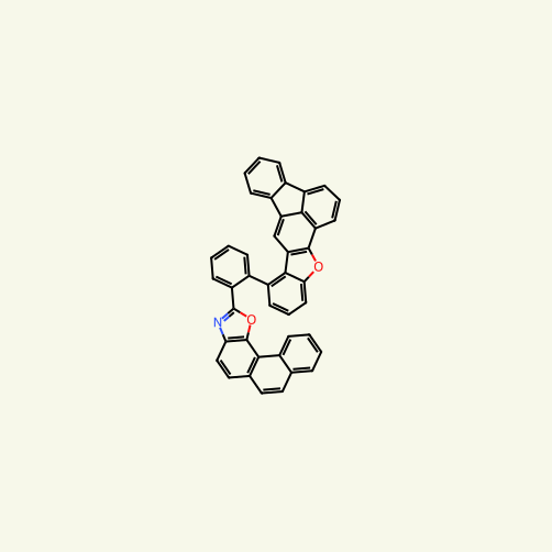 c1ccc(-c2cccc3oc4c5cccc6c5c(cc4c23)-c2ccccc2-6)c(-c2nc3ccc4ccc5ccccc5c4c3o2)c1